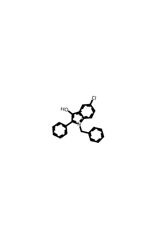 Oc1c(-c2ccccc2)n(Cc2ccccc2)c2ccc(Cl)cc12